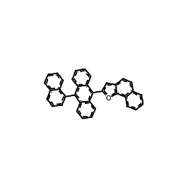 c1ccc2c(-c3c4ccccc4c(-c4cc5ccc6ccccc6c5o4)c4ccccc34)cccc2c1